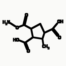 CC1C(C(=O)O)CC(C(=O)ON)C1C(=O)O